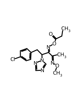 CCC(=O)ON=C(C(C)=NOC)C(Cc1ccc(Cl)cc1)n1cncn1